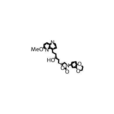 COc1ccc2nccc(CC[C@@H](O)CC[C@H]3CN(c4ccc5c(c4)OCCO5)C(=O)O3)c2n1